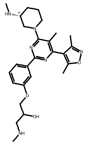 CNCC(O)COc1cccc(-c2nc(-c3c(C)noc3C)c(C)c(N3CCC[C@@H](NC)C3)n2)c1